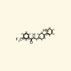 O=C(NCN1CC=C(C2=CC=CCN2)CC1)c1cccc(C(F)(F)F)c1